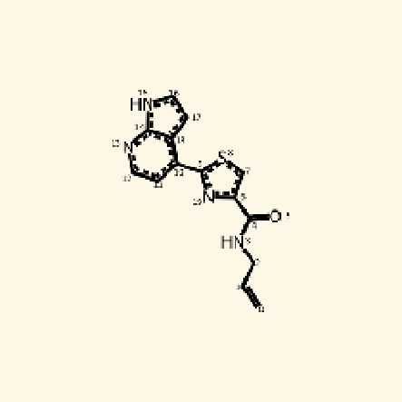 C=CCNC(=O)c1csc(-c2ccnc3[nH]ccc23)n1